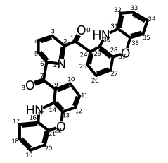 O=C(c1cccc(C(=O)c2cccc3c2Nc2ccccc2O3)n1)c1cccc2c1Nc1ccccc1O2